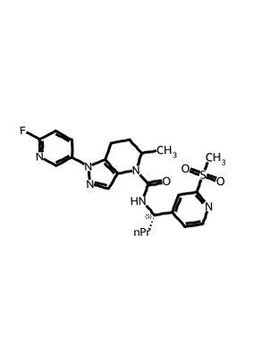 CCC[C@H](NC(=O)N1c2cnn(-c3ccc(F)nc3)c2CCC1C)c1ccnc(S(C)(=O)=O)c1